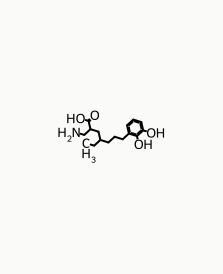 CCC(CCCc1cccc(O)c1O)CC(CN)C(=O)O